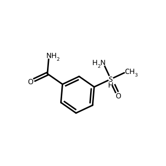 C[SH](N)(=O)c1cccc(C(N)=O)c1